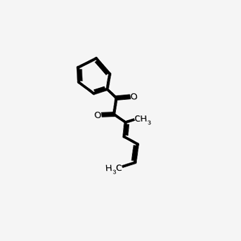 C/C=C\C=C(/C)C(=O)C(=O)c1ccccc1